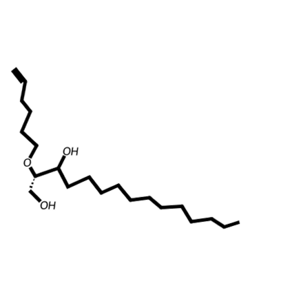 C=CCCCCO[C@@H](CO)C(O)CCCCCCCCCCCC